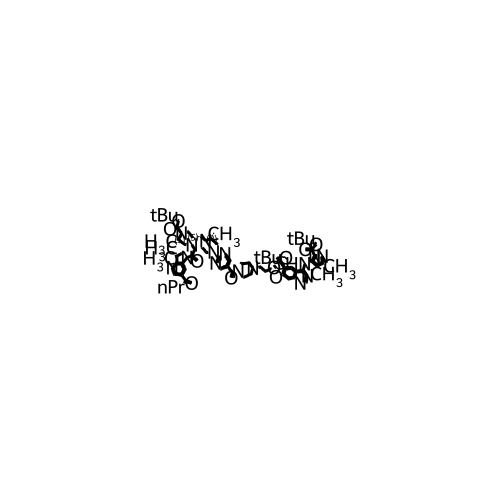 CCCC(=O)c1cnc2c(c1)N(C(=O)CN1C[C@H](C)N(C(=O)OC(C)(C)C)C[C@@H]1CN1CCN(c3ncc(C(=O)N4CCN(CCCOc5cc6ncnc(Nc7c(C)c(C)nn7C(=O)OC(C)(C)C)c6cc5S(=O)(=O)C(C)(C)C)CC4)cn3)C[C@H]1C)CC2(C)C